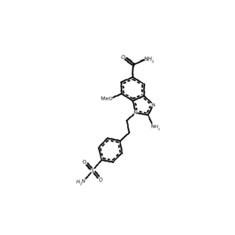 COc1cc(C(N)=O)cc2nc(N)n(CCc3ccc(S(N)(=O)=O)cc3)c12